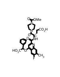 COC(=O)N1CCN(C(=O)[C@H](CCC(=O)O)NC(=O)c2cc(OC(C(=O)O)c3ccccc3)c3cc(F)c(C)cc3n2)CC1